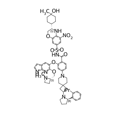 CC(C)c1ccccc1[C@H]1CCCN1C1CC2(CCN(c3ccc(C(=O)NS(=O)(=O)c4cc5c(c([N+](=O)[O-])c4)N[C@@H](C4CCC(C)(O)CC4)CO5)c(Oc4cc5cc[nH]c5nc4OC[C@@H]4CCN4C)c3)CC2)C1